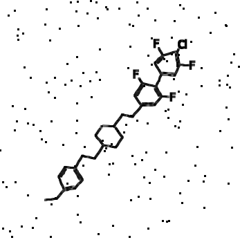 CCc1ccc(CCC2CCC(CCc3cc(F)c(-c4cc(F)c(Cl)c(F)c4)c(F)c3)CC2)cc1